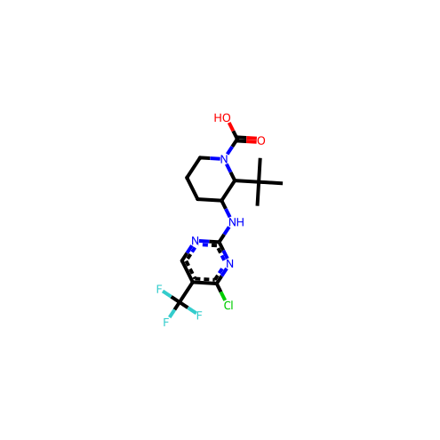 CC(C)(C)C1C(Nc2ncc(C(F)(F)F)c(Cl)n2)CCCN1C(=O)O